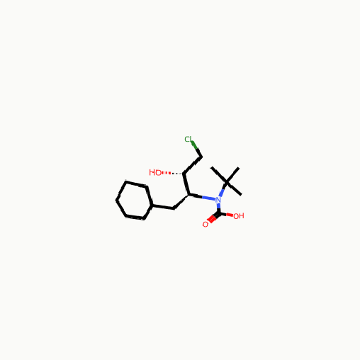 CC(C)(C)N(C(=O)O)[C@@H](CC1CCCCC1)[C@H](O)CCl